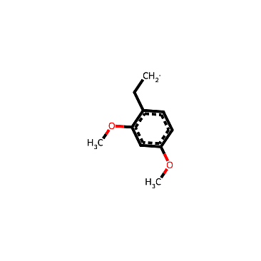 [CH2]Cc1ccc(OC)cc1OC